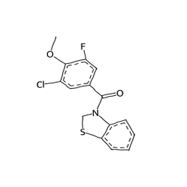 COc1c(F)cc(C(=O)N2CSc3ccccc32)cc1Cl